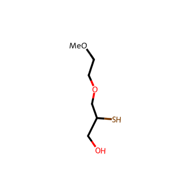 COCCOCC(S)CO